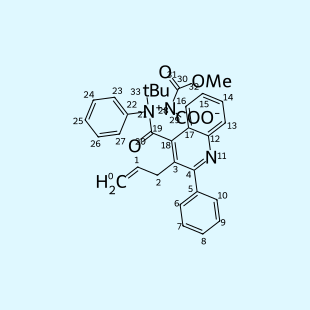 C=CCc1c(-c2ccccc2)nc2ccccc2c1C(=O)[N+](c1ccccc1)(N(C(=O)[O-])C(=O)OC)C(C)(C)C